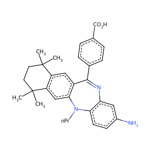 CCCN1c2ccc(N)cc2N=C(c2ccc(C(=O)O)cc2)c2cc3c(cc21)C(C)(C)CCC3(C)C